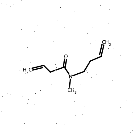 C=CCCN(C)C(=O)CC=C